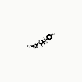 CC(C)(C(=O)Nc1nnc(C(F)(F)F)s1)S(=O)(=O)c1ccc(Cl)cc1